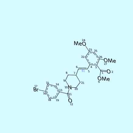 COC(=O)c1c(/C=C/C2CCN(C(=O)c3ccc(Br)cc3)CC2)cc(OC)cc1OC